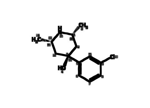 C[C@@H]1C[C@](O)(c2cccc(Cl)c2)C[C@H](C)N1